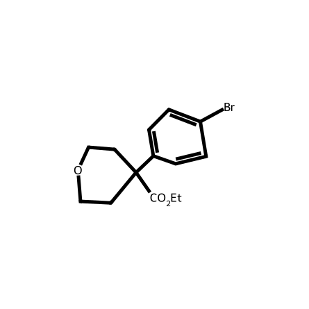 CCOC(=O)C1(c2ccc(Br)cc2)CCOCC1